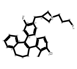 Cc1c(Cl)cccc1C1=C(c2ccc(CC3CN(CCCF)C3)c(F)c2)c2ccccc2CCC1